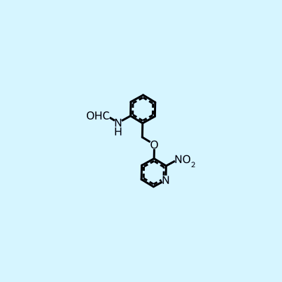 O=CNc1ccccc1COc1cccnc1[N+](=O)[O-]